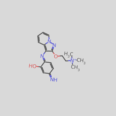 C[N+](C)(C)CCOc1nn2ccccc2c1/N=C1\C=CC(=N)C=C1O